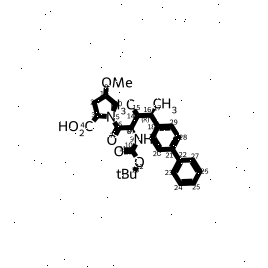 COC1CC(C(=O)O)N(C(=O)[C@@H](NC(=O)OC(C)(C)C)C(C)[C@@H](C)c2ccc(-c3ccccc3)cc2)C1